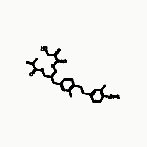 C=C(C)C(=O)OCC(COC(=O)C(=C)CO)Cc1ccc(CCc2ccc(CCCCC)c(C)c2)c(C)c1